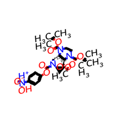 COC(=O)[C@H]1[C@H](CN(C(=O)Oc2ccc([NH+]([O-])O)cc2)C2CC2)N(C(=O)OC(C)(C)C)CCN1C(=O)OC(C)(C)C